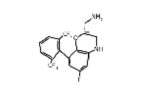 NC[C@@H]1CNc2cc(F)cc(-c3c(C(F)(F)F)cccc3C(F)(F)F)c2O1